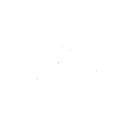 COC(=O)C1CC(n2cc(C#Cc3cc(OC)cc(OC)c3)c3c(N)ncnc32)CN1C(=O)OC(C)(C)C